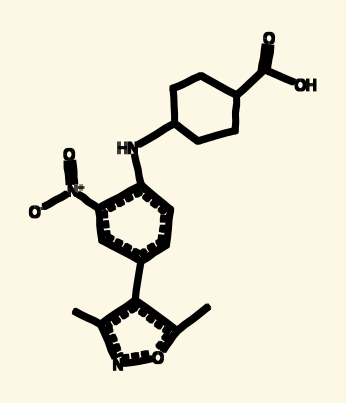 Cc1noc(C)c1-c1ccc(NC2CCC(C(=O)O)CC2)c([N+](=O)[O-])c1